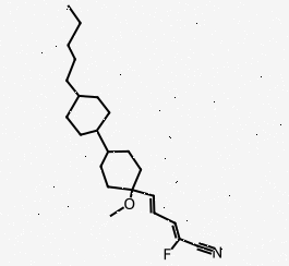 CCCCCC1CCC(C2CCC(C=CC=C(F)C#N)(OC)CC2)CC1